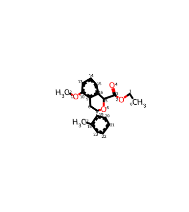 CCOC(=O)C1OCCc2c(OC)cccc21.Cc1ccccc1